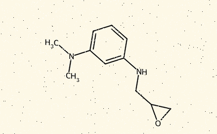 CN(C)c1cccc(NCC2CO2)c1